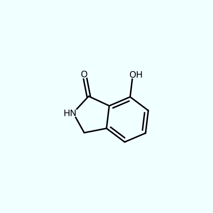 O=C1NCc2cccc(O)c21